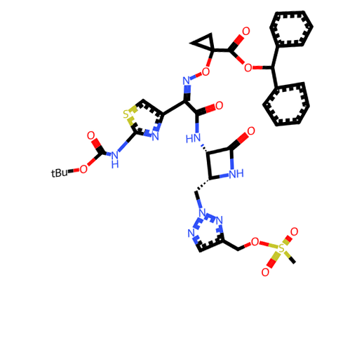 CC(C)(C)OC(=O)Nc1nc(/C(=N/OC2(C(=O)OC(c3ccccc3)c3ccccc3)CC2)C(=O)N[C@@H]2C(=O)N[C@@H]2Cn2ncc(COS(C)(=O)=O)n2)cs1